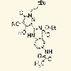 CCOP1(=O)N=C(c2nn(CCC(C)(C)C)c(=O)c(C#N)c2O)Nc2ccc(NS(C)(=O)=O)cc21